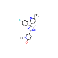 CCn1cc(C2=NC(c3ccc(F)cc3)(c3ccc(C(F)(F)F)nc3)[C@H](C)N2)ccc1=O